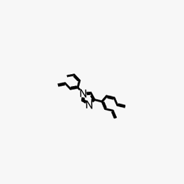 C=C/C=C\C(=C/C=C)c1cn(C(/C=C\C)=C/C=C)cn1